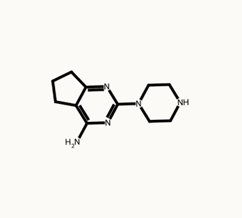 Nc1nc(N2CCNCC2)nc2c1CCC2